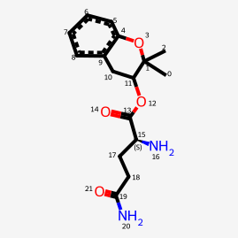 CC1(C)Oc2ccccc2CC1OC(=O)[C@@H](N)CCC(N)=O